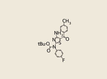 Cc1ccc(C(=O)c2sc(N(C(=O)OC(C)(C)C)c3ccc(F)cc3)nc2N)cc1